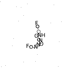 O=C(NC1CCC(c2ccc(F)cc2)CC1)c1ccc(C(=O)N2CCN(Cc3ccc(F)cc3)CC2)nc1